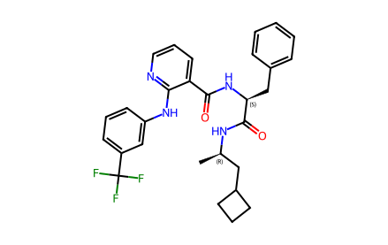 C[C@H](CC1CCC1)NC(=O)[C@H](Cc1ccccc1)NC(=O)c1cccnc1Nc1cccc(C(F)(F)F)c1